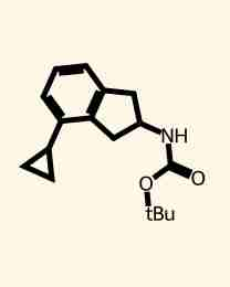 CC(C)(C)OC(=O)NC1Cc2cccc(C3CC3)c2C1